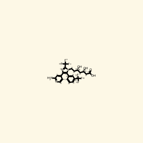 Nc1cc(-c2nc(C(F)(F)F)n(CC[C@@H](O)C[C@@H](O)CC(=O)O)c2-c2cccc(C(F)(F)F)c2)ccn1